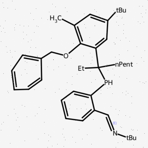 CCCCCC(CC)(Pc1ccccc1/C=N/C(C)(C)C)c1cc(C(C)(C)C)cc(C)c1OCc1ccccc1